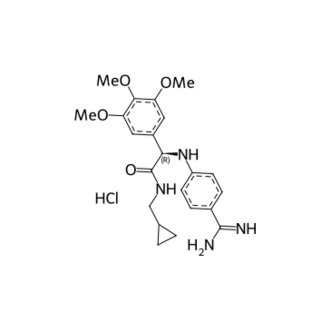 COc1cc([C@@H](Nc2ccc(C(=N)N)cc2)C(=O)NCC2CC2)cc(OC)c1OC.Cl